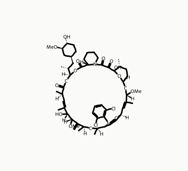 C=C1[C@H](C)C[C@H](C)C2C=C[C@H](/C=C(\C)[C@@H](OC)C[C@@H]3CC[C@@H](C)[C@@](O)(O3)C(=O)C(=O)N3CCCC[C@H]3C(=O)O[C@H]([C@H](C)C[C@@H]3CC[C@@H](O)[C@H](OC)C3)CC(=O)[C@H](C)/C=C(\C)[C@@H](O)[C@H]1OC)ON2c1c(Cl)cccc1Cl